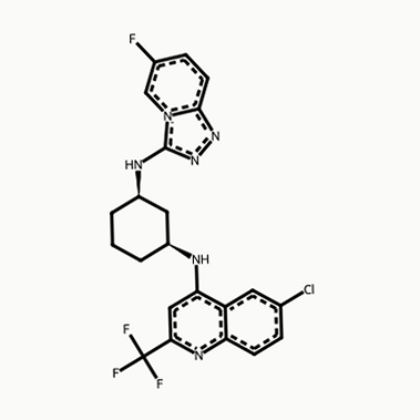 Fc1ccc2nnc(N[C@@H]3CCC[C@H](Nc4cc(C(F)(F)F)nc5ccc(Cl)cc45)C3)n2c1